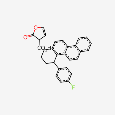 Fc1ccc(C2CCCc3ccc4c(ccc5ccccc54)c32)cc1.O=C(O)C1C=COC1=O